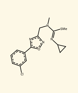 CSC(=NC1CC1)N(C)Cc1noc(-c2cccc(Cl)c2)n1